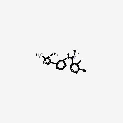 Cc1ncc(-c2cccc(N/C(=N\N)c3cccc(Br)c3F)c2)n1C